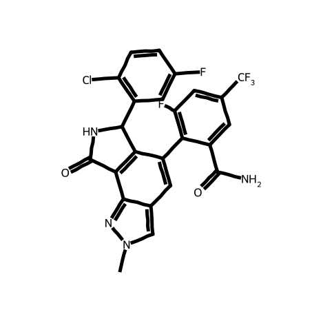 Cn1cc2cc(-c3c(F)cc(C(F)(F)F)cc3C(N)=O)c3c(c2n1)C(=O)NC3c1cc(F)ccc1Cl